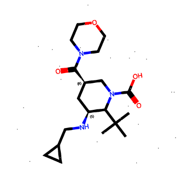 CC(C)(C)C1[C@@H](NCC2CC2)C[C@@H](C(=O)N2CCOCC2)CN1C(=O)O